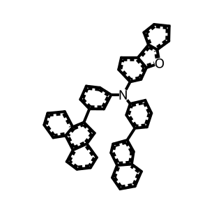 c1cc(-c2ccc3ccccc3c2)cc(N(c2cccc(-c3cc4ccccc4c4ccccc34)c2)c2ccc3c(c2)oc2ccccc23)c1